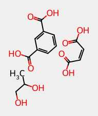 CC(O)CO.O=C(O)/C=C\C(=O)O.O=C(O)c1cccc(C(=O)O)c1